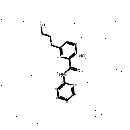 CCCCc1cccc(C(=O)Nc2ccccn2)n1.Cl